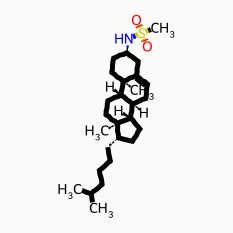 CC(C)CCCC[C@H]1CC[C@H]2[C@@H]3CC=C4C[C@@H](NS(C)(=O)=O)CC[C@]4(C)[C@H]3CC[C@]12C